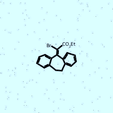 CCOC(=O)C(Br)=C1c2ccccc2CCc2ccccc21